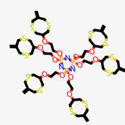 C=C1CSCC(OCCOP2(OCCOC3CSCC(=C)CSC3)=NP(OCCOC3CSCC(=C)CSC3)(OCCOC3CSCC(=C)CSC3)=NP(OCCOC3CSCC(=C)CSC3)(OCCOC3CSCC(=C)CSC3)=N2)CSC1